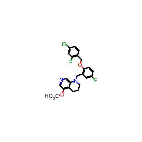 O=C(O)Oc1cncc2c1CCCN2Cc1cc(F)ccc1OCc1ccc(Cl)cc1F